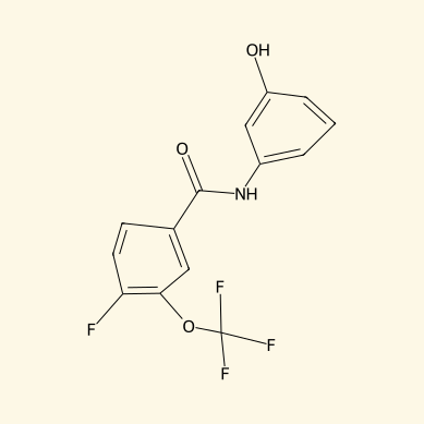 O=C(Nc1cccc(O)c1)c1ccc(F)c(OC(F)(F)F)c1